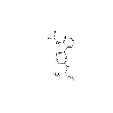 CC(C)Oc1cccc(-c2cccnc2OC(F)F)c1